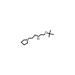 CC(C)(C)OCCNCCCN1CCCC1